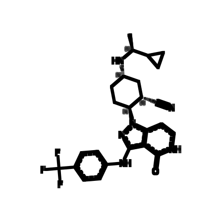 C[C@H](N[C@H]1CC[C@H](n2nc(Nc3ccc(C(F)(F)F)cc3)c3c(=O)[nH]ccc32)[C@@H](C#N)C1)C1CC1